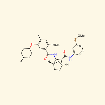 COSc1cccc(NC(=O)[C@H]2[C@@H]3CC[C@@H](C3)[C@H]2NC(=O)c2cc(O[C@H]3CC[C@@H](C)CC3)c(C)cc2OC)c1